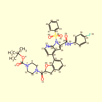 CC(C)(C)OC(=O)N1CCN(C(=O)C2Cc3cccc(-c4ccnc5c4cc(C(=O)Nc4ccc(F)cc4)n5S(=O)(=O)c4ccccc4)c3O2)CC1